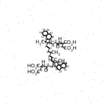 C=C1C(/C=C/C=C(C)/C=C/C=C2/N(CCC(=O)NC(CC(=O)O)C(=O)O)c3ccc4ccccc4c3C2(C)C)=[N+](CCC(=O)NC(CC(=O)O)C(=O)O)c2ccc3ccccc3c21